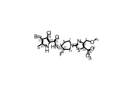 COCc1nc(N2CC[C@@H](NC(=O)c3[nH]c(C)c(Br)c3Cl)[C@@H](F)C2)sc1C(=O)OC